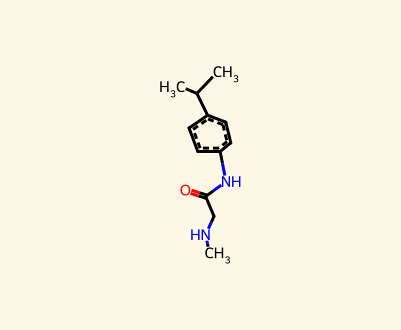 CNCC(=O)Nc1ccc(C(C)C)cc1